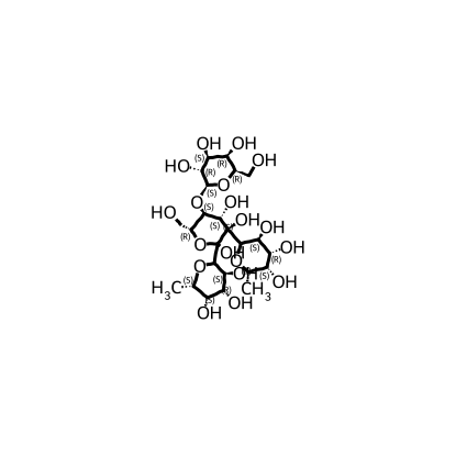 C[C@@H]1OC(C2(O)O[C@H](CO)[C@@H](O[C@@H]3O[C@H](CO)[C@H](O)[C@H](O)[C@H]3O)[C@H](O)[C@]2(O)C2O[C@@H](C)[C@@H](O)[C@@H](O)[C@@H]2O)[C@@H](O)[C@H](O)[C@@H]1O